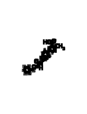 Cc1ncc(-c2ccc3nc(NC(=O)COCc4ccccc4)cn3n2)cc1C(=O)O